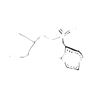 CCCCCCCCCC(C)OOS(=O)(=O)c1ccccc1